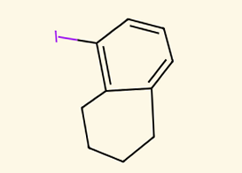 Ic1cccc2c1CCCC2